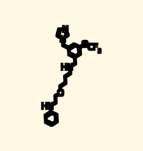 FC(F)(F)Oc1cc(CNCCCCOCCNc2ccccc2)cc(Cn2ccnc2)c1